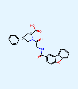 O=C(NCC(=O)N1C[C@H](c2ccccc2)C[C@H]1C(=O)O)c1ccc2oc3ccccc3c2c1